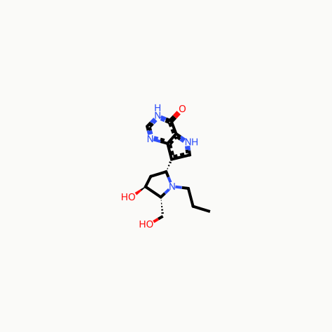 CCCN1[C@@H](c2c[nH]c3c(=O)[nH]cnc23)C[C@H](O)[C@H]1CO